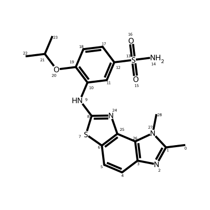 Cc1nc2ccc3sc(Nc4cc(S(N)(=O)=O)ccc4OC(C)C)nc3c2n1C